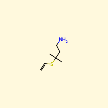 C=CSC(C)(C)CCN